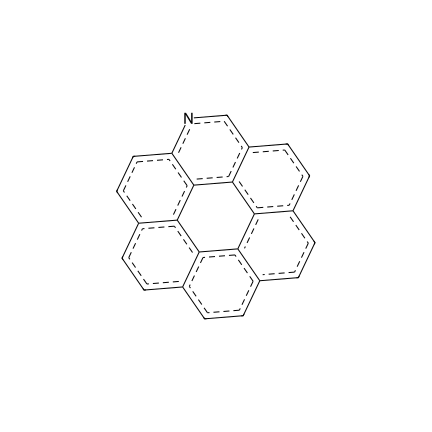 c1cc2ccc3ccc4ncc5ccc6ccc1c1c2c3c4c5c61